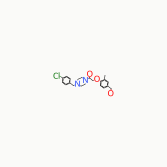 Cc1cc(C=O)ccc1OCC(=O)N1CCN(Cc2ccc(Cl)cc2)CC1